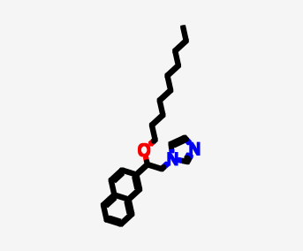 CCCCCCCCCCOC(Cn1ccnc1)c1ccc2ccccc2c1